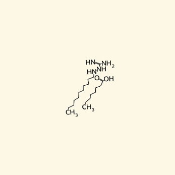 CCCCCCCC(=O)O.CCCCCCCCCCCNNC(=N)N